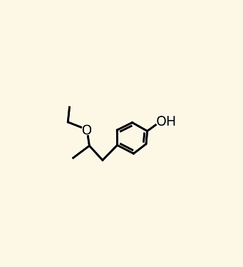 CCOC(C)Cc1ccc(O)cc1